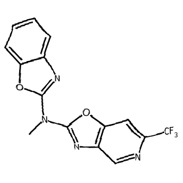 CN(c1nc2ccccc2o1)c1nc2cnc(C(F)(F)F)cc2o1